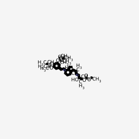 CCOC(=O)OC(C)(C)[C@@H](O)/C=C/[C@@H](C)[C@H]1CC[C@H]2/C(=C/C=C3C[C@@H](O[Si](C)(C)C(C)(C)C)C[C@H](O[Si](C)(C)C(C)(C)C)C3)CCC[C@]12C